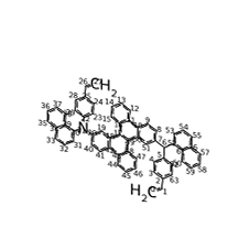 C=Cc1ccc(C(c2ccc3c4ccccc4c4c5cc(N(c6ccc(C=C)cc6)c6cccc7ccccc67)ccc5c5ccccc5c4c3c2)c2cccc3ccccc23)cc1